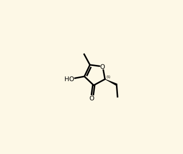 CC[C@@H]1OC(C)=C(O)C1=O